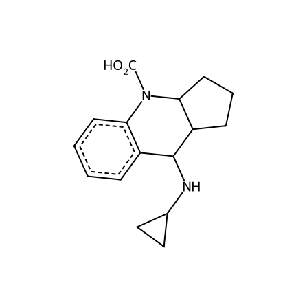 O=C(O)N1c2ccccc2C(NC2CC2)C2CCCC21